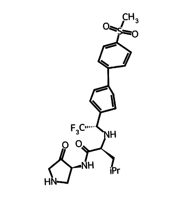 CC(C)C[C@H](N[C@@H](c1ccc(-c2ccc(S(C)(=O)=O)cc2)cc1)C(F)(F)F)C(=O)N[C@H]1CNCC1=O